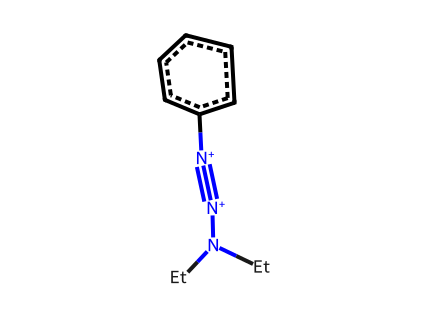 CCN(CC)[N+]#[N+]c1ccccc1